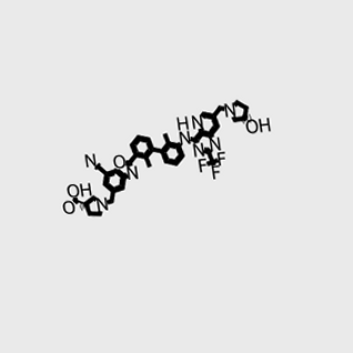 Cc1c(Nc2nc(C(F)(F)F)nc3cc(CN4CC[C@@H](O)C4)cnc23)cccc1-c1cccc(-c2nc3cc(CN4CC[C@@H](C(=O)O)C4)cc(C#N)c3o2)c1C